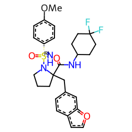 COc1ccc([S@@](=N)(=O)N2CCCC2(Cc2ccc3ccoc3c2)C(=O)NC2CCC(F)(F)CC2)cc1